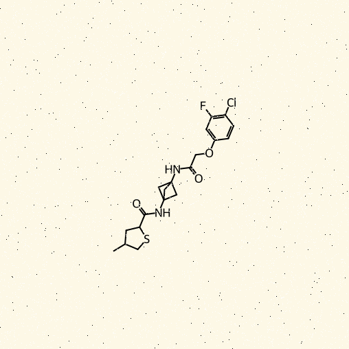 CC1CSC(C(=O)NC23CC(NC(=O)COc4ccc(Cl)c(F)c4)(C2)C3)C1